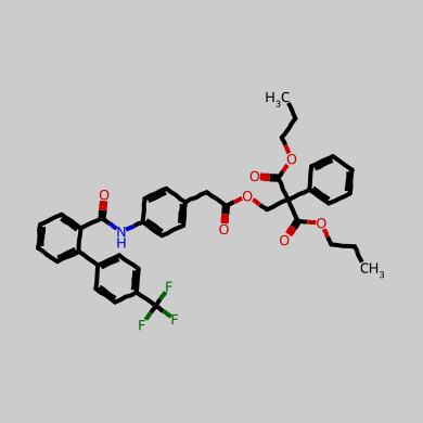 CCCOC(=O)C(COC(=O)Cc1ccc(NC(=O)c2ccccc2-c2ccc(C(F)(F)F)cc2)cc1)(C(=O)OCCC)c1ccccc1